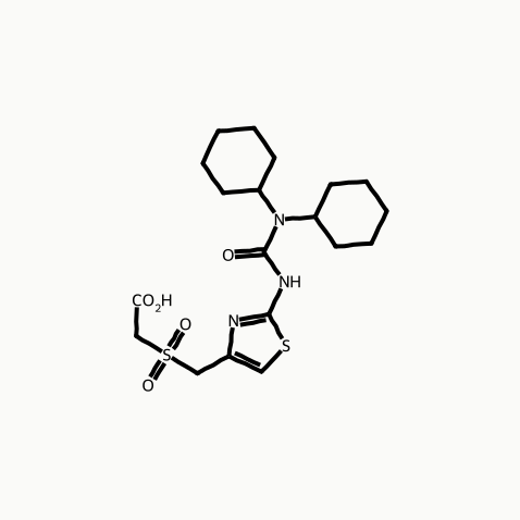 O=C(O)CS(=O)(=O)Cc1csc(NC(=O)N(C2CCCCC2)C2CCCCC2)n1